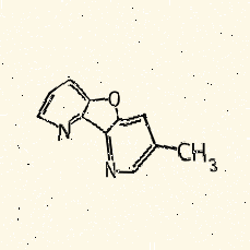 Cc1cnc2c(c1)oc1cccnc12